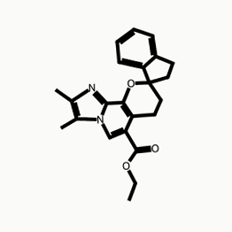 CCOC(=O)c1cn2c(C)c(C)nc2c2c1CCC1(CCc3ccccc31)O2